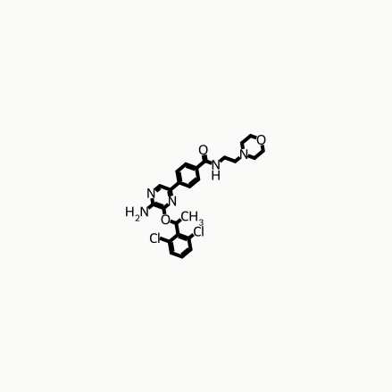 CC(Oc1nc(-c2ccc(C(=O)NCCN3CCOCC3)cc2)cnc1N)c1c(Cl)cccc1Cl